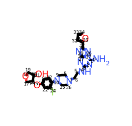 Nc1nc(NCCN2CCN(c3ccc(O[C@H]4COC[C@@H]4O)cc3F)CC2)nc2nc(-c3ccco3)nn12